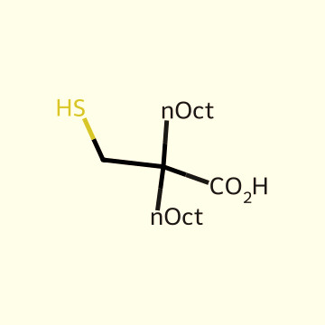 CCCCCCCCC(CS)(CCCCCCCC)C(=O)O